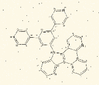 c1ccc2c(c1)c1ncccc1c1c2c2ccccc2n1-c1cc(-c2ccncc2)cc(-c2ccncc2)c1